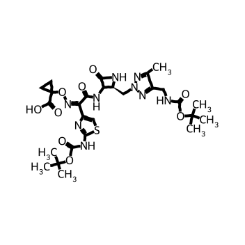 Cc1nn(C[C@@H]2NC(=O)C2NC(=O)/C(=N\OC2(C(=O)O)CC2)c2csc(NC(=O)OC(C)(C)C)n2)nc1CNC(=O)OC(C)(C)C